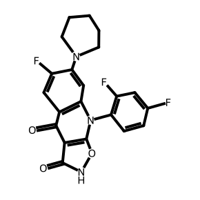 O=c1[nH]oc2c1c(=O)c1cc(F)c(N3CCCCC3)cc1n2-c1ccc(F)cc1F